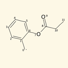 [CH2]c1ccccc1OC(=O)CC